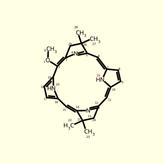 COc1c2nc(cc3ccc(cc4nc(cc5ccc1[nH]5)C(C)(C)C4)[nH]3)C(C)(C)C2